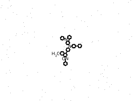 CC1C=Cc2c(-c3ccc(N(c4ccc(-c5ccccc5)cc4)c4ccc5c(c4)c4ccccc4n5-c4ccccc4)cc3)cc3nc(-c4ccccc4)oc3c2C1